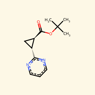 CC(C)(C)OC(=O)[C@@H]1C[C@H]1c1ncccn1